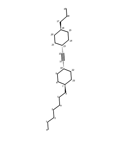 CCCCCCC[C@H]1CC[C@H](C#C[C@H]2CC[C@H](CCC)CC2)CC1